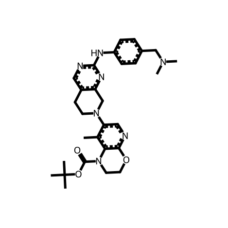 Cc1c(N2CCc3cnc(Nc4ccc(CN(C)C)cc4)nc3C2)cnc2c1N(C(=O)OC(C)(C)C)CCO2